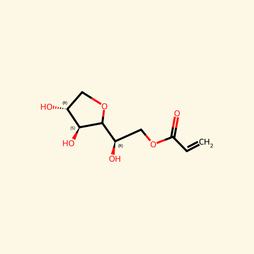 C=CC(=O)OC[C@@H](O)C1OC[C@@H](O)[C@@H]1O